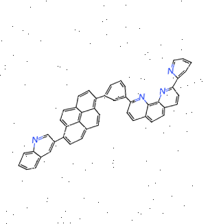 c1ccc(-c2ccc3ccc4ccc(-c5cccc(-c6ccc7ccc8c(-c9cnc%10ccccc%10c9)ccc9ccc6c7c98)c5)nc4c3n2)nc1